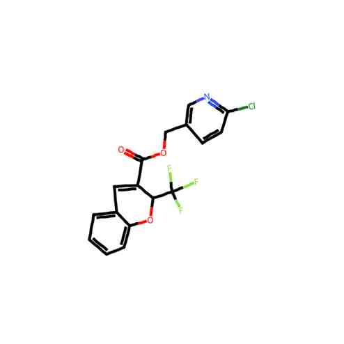 O=C(OCc1ccc(Cl)nc1)C1=Cc2ccccc2OC1C(F)(F)F